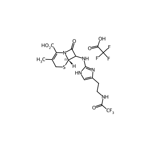 CC1=C(C(=O)O)N2C(=O)C(Nc3nc(CCNC(=O)C(F)(F)F)c[nH]3)[C@@H]2SC1.O=C(O)C(F)(F)F